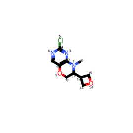 CN1c2nc(Cl)ncc2OCC1C1COC1